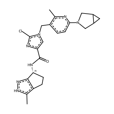 Cc1nc(N2CC3CC3C2)ccc1Cn1cc(C(=O)N[C@@H]2CCc3c2n[nH]c3C)nc1Cl